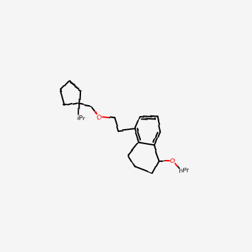 CCCOC1CCCc2c(CCOCC3(C(C)C)CCCC3)cccc21